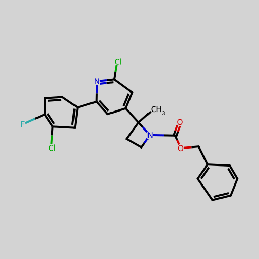 CC1(c2cc(Cl)nc(-c3ccc(F)c(Cl)c3)c2)CCN1C(=O)OCc1ccccc1